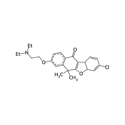 CCN(CC)CCOc1ccc2c(c1)C(C)(C)C1=C(C2=O)C2C=CC(Cl)=CC2O1